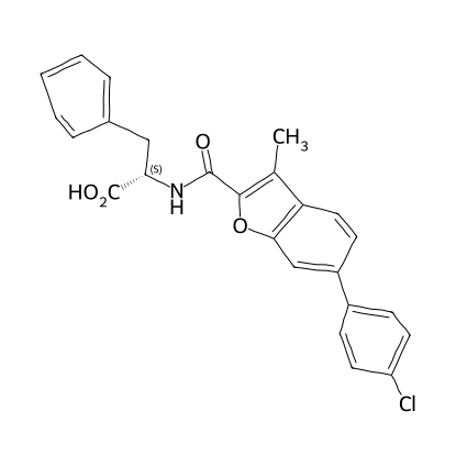 Cc1c(C(=O)N[C@@H](Cc2ccccc2)C(=O)O)oc2cc(-c3ccc(Cl)cc3)ccc12